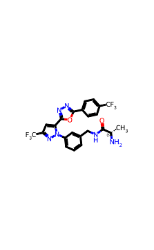 C[C@H](N)C(=O)NCc1cccc(-n2nc(C(F)(F)F)cc2-c2nnc(-c3ccc(C(F)(F)F)cc3)o2)c1